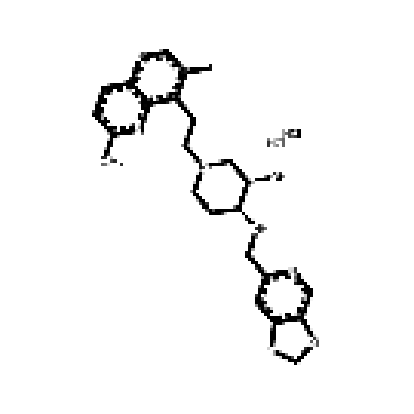 COc1ccc2ncc(F)c(CCN3CC[C@H](NCc4cc5c(cn4)OCS5)[C@H](O)C3)c2n1.Cl.Cl